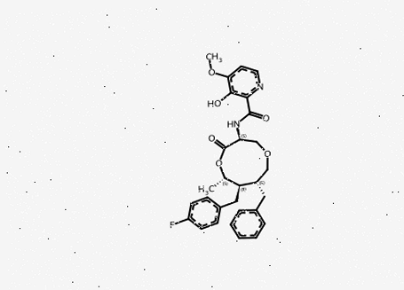 COc1ccnc(C(=O)N[C@H]2COC[C@H](Cc3ccccc3)[C@@H](Cc3ccc(F)cc3)[C@H](C)OC2=O)c1O